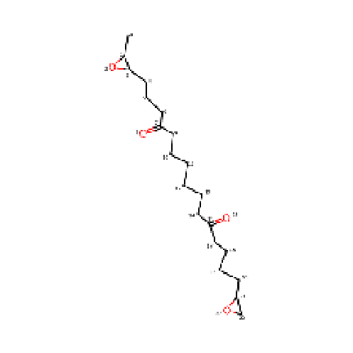 CC1OC1CCCC(=O)CCCCCCC(=O)CCCCC1CO1